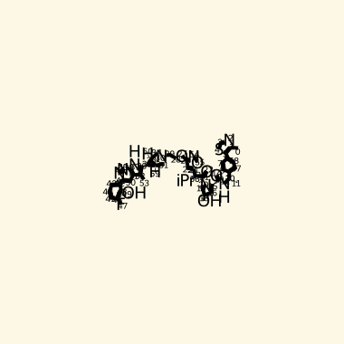 Cc1ncsc1-c1ccc([C@H](C)NC(=O)[C@@H]2C[C@@H](O)CN2C(=O)[C@@H](c2cc(OCCN3C[C@@H]4[C@H](C3)[C@H]4c3[nH]c4nnc(-c5cccc(F)c5O)cc4c3C)no2)C(C)C)cc1